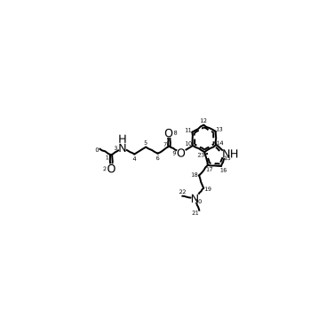 CC(=O)NCCCC(=O)Oc1cccc2[nH]cc(CCN(C)C)c12